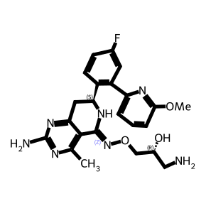 COc1cccc(-c2cc(F)ccc2[C@@H]2Cc3nc(N)nc(C)c3/C(=N/OC[C@H](O)CN)N2)n1